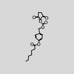 CCCCCCC(=O)Oc1ccc(COC(=O)ON2C(=O)CCC2=O)cc1